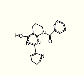 O=C(c1ccccc1)N1CCCc2c(O)nc(C3=CCCC=N3)nc21